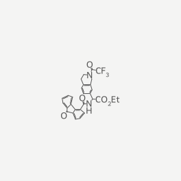 CCOC(=O)C(NC(=O)c1cccc2c1-c1ccccc1C2=O)c1ccc2c(c1)CN(C(=O)C(F)(F)F)CC2